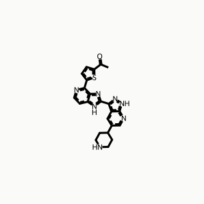 CC(=O)c1ccc(-c2nccc3[nH]c(-c4n[nH]c5ncc(C6CCNCC6)cc45)nc23)s1